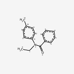 CCN(C(=O)c1ccccc1)c1ccc(C)cc1